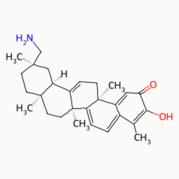 CC1=C(O)C(=O)C=C2C1=CC=C1[C@@]2(C)CC=C2[C@@H]3C[C@](C)(CN)CC[C@]3(C)CC[C@@]21C